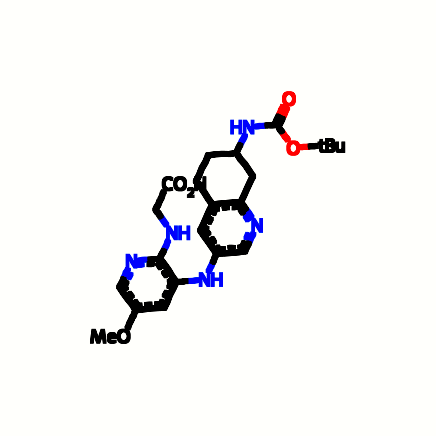 COc1cnc(NCC(=O)O)c(Nc2cnc3c(c2)CCC(NC(=O)OC(C)(C)C)C3)c1